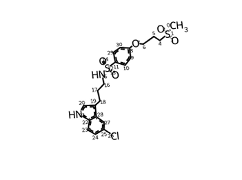 CS(=O)(=O)CCCOc1ccc(S(=O)(=O)NCCCc2c[nH]c3ccc(Cl)cc23)cc1